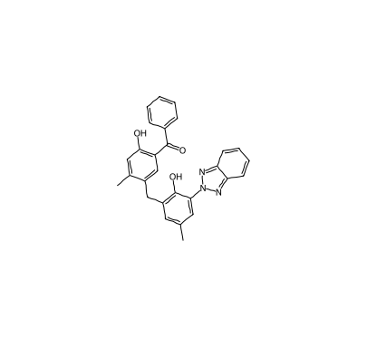 Cc1cc(Cc2cc(C(=O)c3ccccc3)c(O)cc2C)c(O)c(-n2nc3ccccc3n2)c1